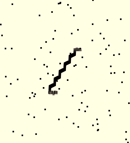 CCCCCCCC/C=C/C=C/C=C/C=C/C=C/C(=O)OCC